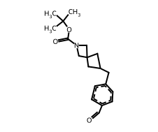 CC(C)(C)OC(=O)N1CC2(CC(Cc3ccc(C=O)cc3)C2)C1